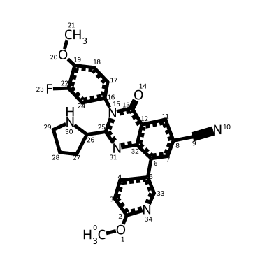 COc1ccc(-c2cc(C#N)cc3c(=O)n(-c4ccc(OC)c(F)c4)c(C4CCCN4)nc23)cn1